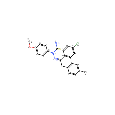 N#Cc1ccc(C/C(=N/N(C(N)=S)c2ccc(OC(F)(F)F)cc2)c2ccc(Cl)cc2)cc1